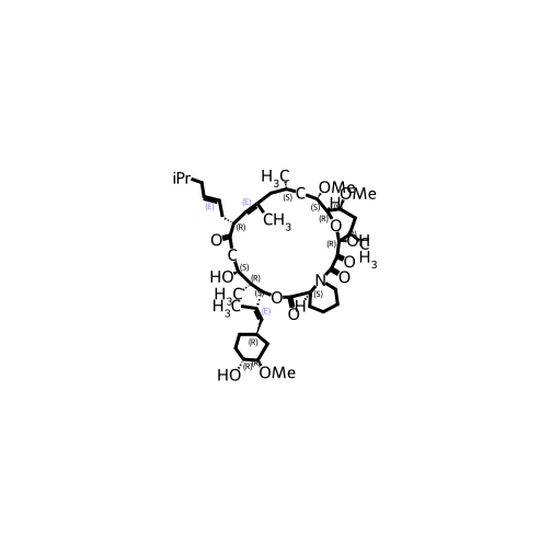 CO[C@H]1C[C@@H](C)C/C(C)=C/[C@@H](C/C=C/CC(C)C)C(=O)C[C@H](O)[C@@H](C)[C@@H](/C(C)=C/[C@@H]2CC[C@@H](O)[C@H](OC)C2)OC(=O)[C@@H]2CCCCN2C(=O)C(=O)[C@]2(O)O[C@H]1[C@@H](OC)C[C@H]2C